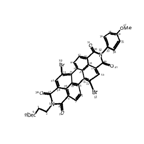 CCCCCCCCCCCCN1C(=O)c2ccc3c4c(Br)cc5c6c(ccc(c7c(Br)cc(c2c37)C1=O)c64)C(=O)N(c1ccc(OC)cc1)C5=O